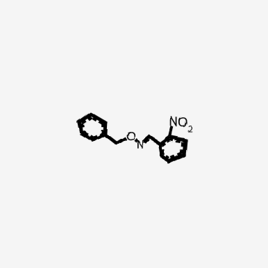 O=[N+]([O-])c1ccccc1C=NOCc1ccccc1